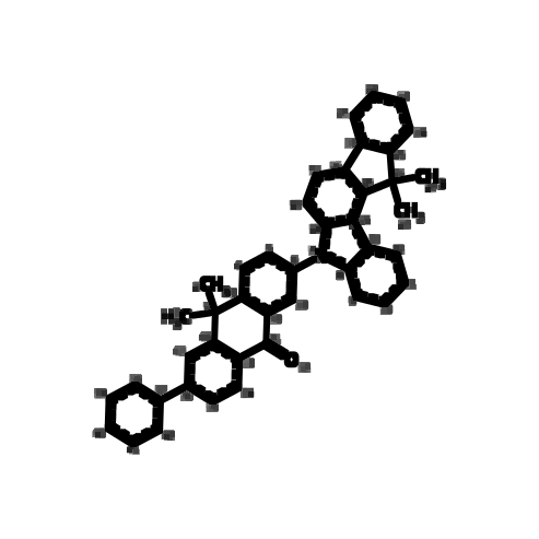 CC1(C)c2ccc(-n3c4ccccc4c4c5c(ccc43)-c3ccccc3C5(C)C)cc2C(=O)c2ccc(-c3ccccc3)cc21